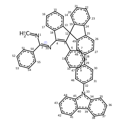 C=N/C(=N\C1=C(c2ccccc2)C2(c3ccccc31)c1ccccc1-c1ccc(-c3ccc(-n4c5ccccc5c5ccccc54)cc3)cc12)c1ccccc1